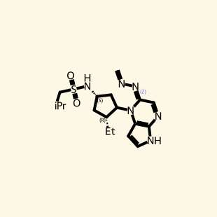 C=N/N=c1/cnc2[nH]ccc2n1C1C[C@@H](NS(=O)(=O)CC(C)C)C[C@H]1CC